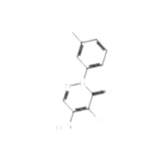 Cc1cccc(-n2ncc(N)c(Br)c2=O)c1